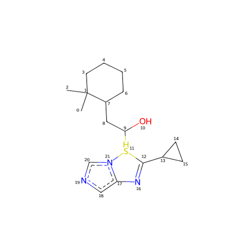 CC1(C)CCCCC1CC(O)[SH]1C(C2CC2)=Nc2cncn21